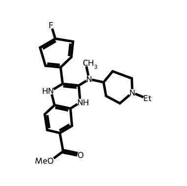 CCN1CCC(N(C)C2=C(c3ccc(F)cc3)Nc3ccc(C(=O)OC)cc3N2)CC1